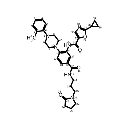 Cc1ccccc1N1CCN(c2ccc(C(=O)NCCCN3CCCC3=O)cc2NC(=O)c2cnc(C3CC3)o2)CC1